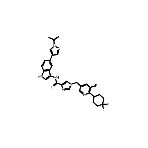 CC(C)n1cc(-c2ccc3[nH]cc(NC(=O)c4cn(Cc5cnc(C6CCC(F)(F)CC6)c(F)c5)cn4)c3c2)cn1